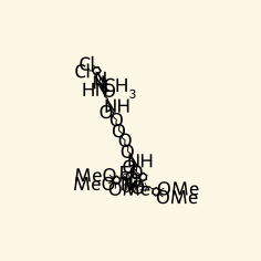 CC[C@H](C(=O)N1CCCC[C@H]1C(=O)O[C@@H](CCc1ccc(OC)c(OC)c1)c1cccc(OCC(=O)NCCOCCOCCOCCOCCC(=O)NCCCC(=O)NC2=NN(c3ccc(Cl)c(Cl)c3)CC2C)c1)c1cc(OC)c(OC)c(OC)c1